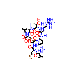 CSCC[C@H](NC(=O)[C@@H](N)C(C)C)C(=O)N[C@@H](C)C(=O)N1CCC[C@H]1C(=O)N[C@H](CCCNC(=N)N)C(=O)N[C@H](C(=O)N[C@@H](CC(C)C)C(=O)N[C@@H](CS)C(=O)O)[C@@H](C)O